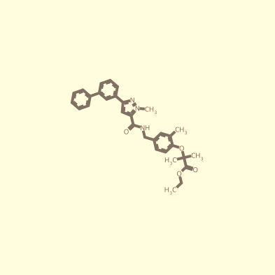 CCOC(=O)C(C)(C)Oc1ccc(CNC(=O)c2cc(-c3cccc(-c4ccccc4)c3)nn2C)cc1C